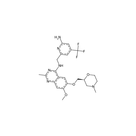 COc1cc2nc(C)nc(NCc3cc(C(F)(F)F)cc(N)n3)c2cc1OC[C@@H]1CN(C)CCO1